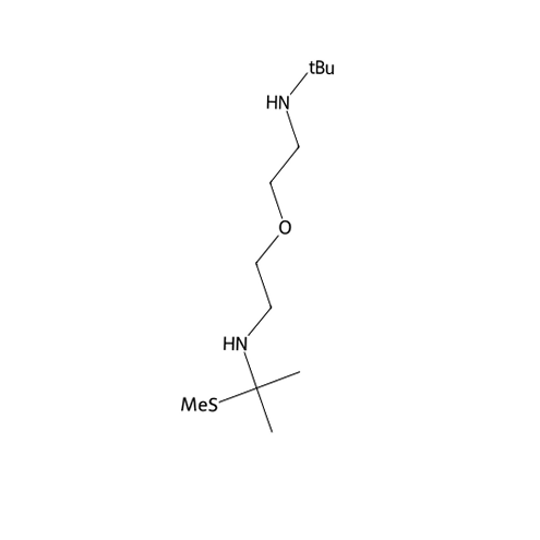 CSC(C)(C)NCCOCCNC(C)(C)C